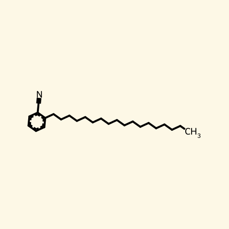 CCCCCCCCCCCCCCCCCCc1ccccc1C#N